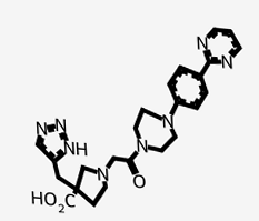 O=C(CN1CCC(Cc2cnn[nH]2)(C(=O)O)C1)N1CCN(c2ccc(-c3ncccn3)cc2)CC1